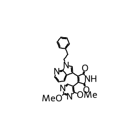 COc1ncc(C2=C(c3cn(CCc4ccccc4)c4ncccc34)C(=O)NC2=O)c(OC)n1